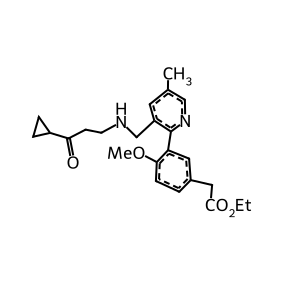 CCOC(=O)Cc1ccc(OC)c(-c2ncc(C)cc2CNCCC(=O)C2CC2)c1